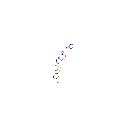 O=C(CN1CCN(S(=O)(=O)c2cc3ccc(Cl)cc3s2)CC1=O)NCCn1ccnc1